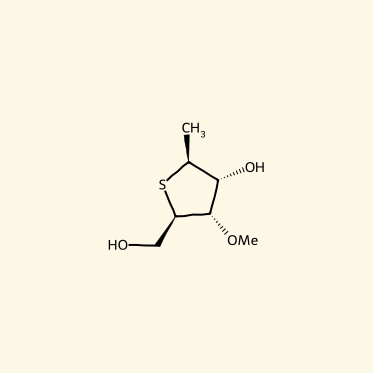 CO[C@H]1[C@@H](O)[C@H](C)S[C@@H]1CO